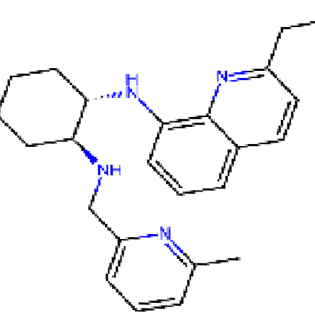 CCc1ccc2cccc(N[C@H]3CCCC[C@@H]3NCc3cccc(C)n3)c2n1